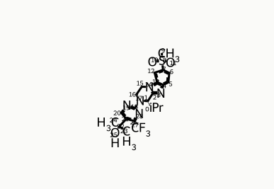 CC(C)[C@H]1c2nc3ccc(S(C)(=O)=O)cc3n2CCN1c1ncc(C(C)(C)O)c(C(F)(F)F)n1